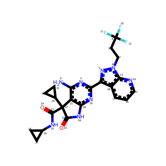 Nc1nc(-c2nn(CCC(F)(F)F)c3ncccc23)nc2c1C(C(=O)NC1CC1)(C1CC1)C(=O)N2